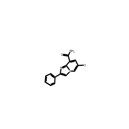 NC(=O)c1[c]c(Cl)cn2cc(-c3ccccc3)nc12